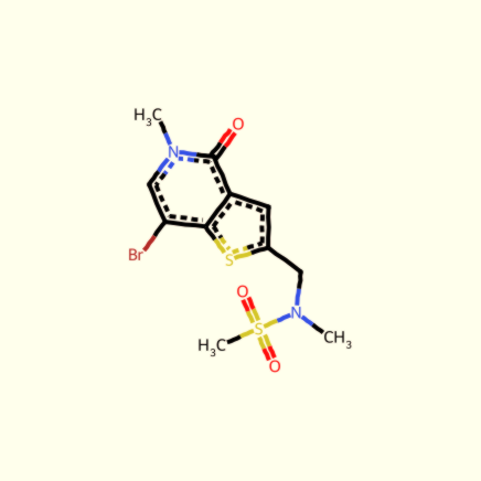 CN(Cc1cc2c(=O)n(C)cc(Br)c2s1)S(C)(=O)=O